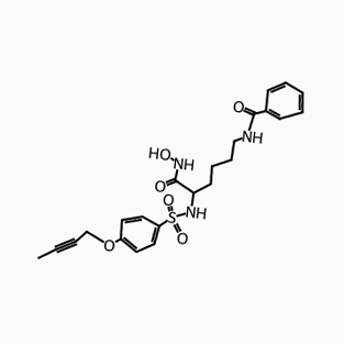 CC#CCOc1ccc(S(=O)(=O)NC(CCCCNC(=O)c2ccccc2)C(=O)NO)cc1